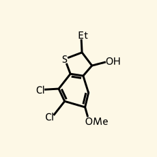 CCC1Sc2c(cc(OC)c(Cl)c2Cl)C1O